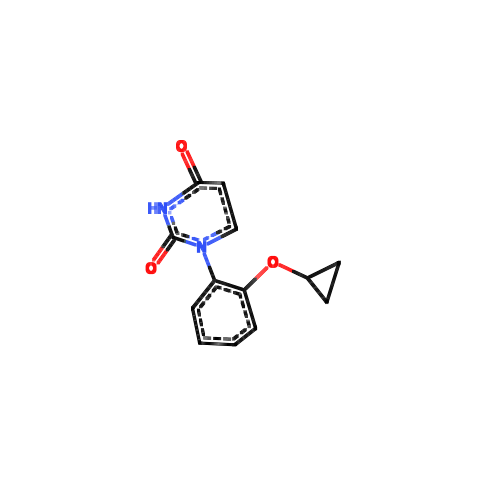 O=c1ccn(-c2ccccc2OC2CC2)c(=O)[nH]1